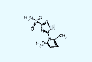 Cc1ccc(C)n1-c1nc(S(N)(=O)=O)n[nH]1